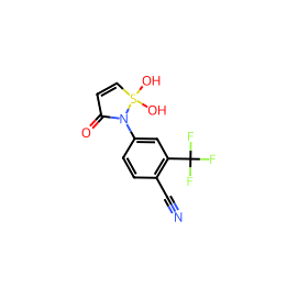 N#Cc1ccc(N2C(=O)C=CS2(O)O)cc1C(F)(F)F